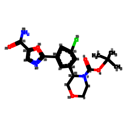 CC(C)(C)OC(=O)N1CCOC[C@H]1c1cc(Cl)cc(-c2ncc(C(N)=O)o2)c1